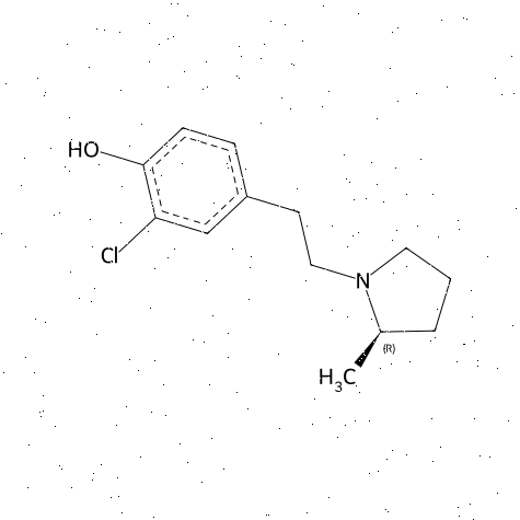 C[C@@H]1CCCN1CCc1ccc(O)c(Cl)c1